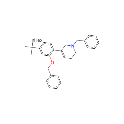 CCCCCCC(C)(C)c1ccc(C2=CCCN(Cc3ccccc3)C2)c(OCc2ccccc2)c1